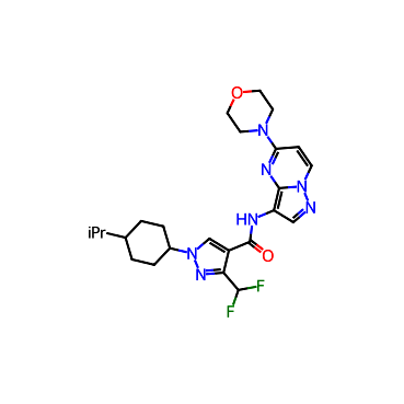 CC(C)C1CCC(n2cc(C(=O)Nc3cnn4ccc(N5CCOCC5)nc34)c(C(F)F)n2)CC1